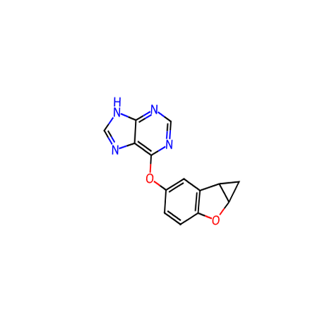 c1nc(Oc2ccc3c(c2)C2CC2O3)c2nc[nH]c2n1